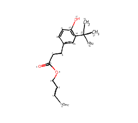 CCCCCCCCCCCCCOC(=O)CCc1ccc(O)c(C(C)(C)CCCC)c1